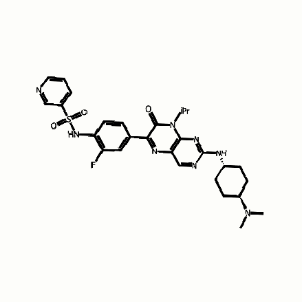 CC(C)n1c(=O)c(-c2ccc(NS(=O)(=O)c3cccnc3)c(F)c2)nc2cnc(N[C@H]3CC[C@H](N(C)C)CC3)nc21